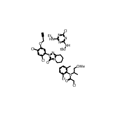 C#CCOc1cc(-n2nc3n(c2=O)CCCC3)c(Cl)cc1Cl.CCNc1nc(Cl)nc(NC(C)(C)C)n1.CCc1cccc(C)c1N(C(=O)CCl)C(C)COC